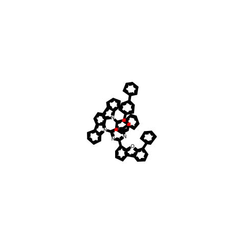 c1ccc(-c2ccc(-c3ccccc3-n3c4ccccc4c4ccc5c6ccccc6n(-c6nc(-c7ccccc7)nc(-c7cccc8c7oc7c(-c9ccccc9)cccc78)n6)c5c43)cc2)cc1